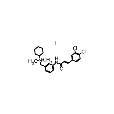 C[N+](C)(Cc1cccc(NC(=O)/C=C/c2ccc(Cl)c(Cl)c2)c1)C1CCCCC1.[I-]